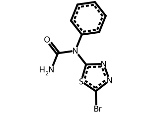 NC(=O)N(c1ccccc1)c1nnc(Br)s1